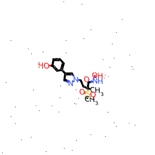 CC(CCn1cc(-c2cccc(O)c2)cn1)(C(=O)NO)S(C)(=O)=O